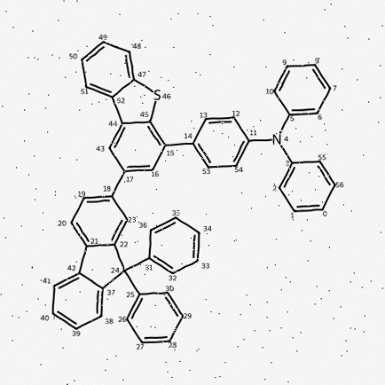 c1ccc(N(c2ccccc2)c2ccc(-c3cc(-c4ccc5c(c4)C(c4ccccc4)(c4ccccc4)c4ccccc4-5)cc4c3sc3ccccc34)cc2)cc1